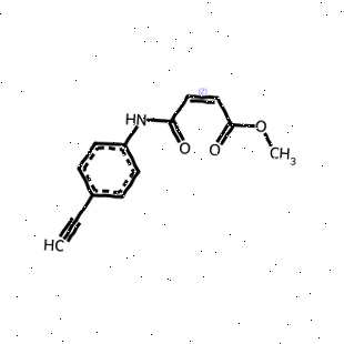 C#Cc1ccc(NC(=O)/C=C\C(=O)OC)cc1